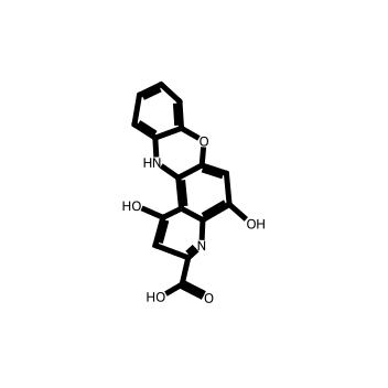 O=C(O)c1cc(O)c2c3c(cc(O)c2n1)Oc1ccccc1N3